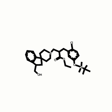 CCOC(=O)C(Cc1cc(O[Si](C)(C)C(C)(C)C)ccc1Cl)CN1CCC2(CC1)CC(CO)c1ccccc12